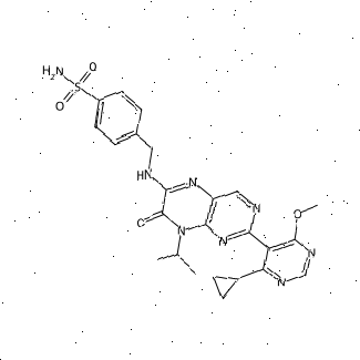 COc1ncnc(C2CC2)c1-c1ncc2nc(NCc3ccc(S(N)(=O)=O)cc3)c(=O)n(C(C)C)c2n1